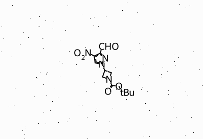 CC(C)(C)OC(=O)N1CC(n2cc([N+](=O)[O-])c(C=O)n2)C1